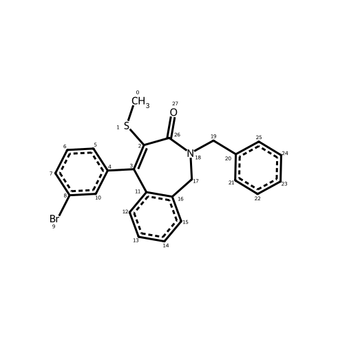 CSC1=C(c2cccc(Br)c2)c2ccccc2CN(Cc2ccccc2)C1=O